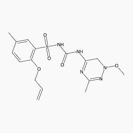 C=CCOc1ccc(C)cc1S(=O)(=O)NC(=O)NC1=NC(C)=NN(OC)C1